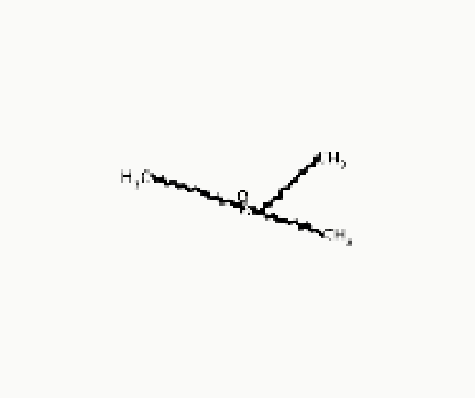 CCCCCCCCCCCCCCCCCC(=O)OCCC(CCCCCCCCCCCC)CCCCCCCCCCCCCC